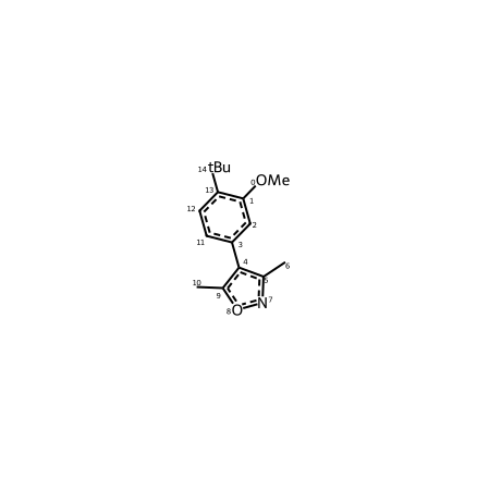 COc1cc(-c2c(C)noc2C)ccc1C(C)(C)C